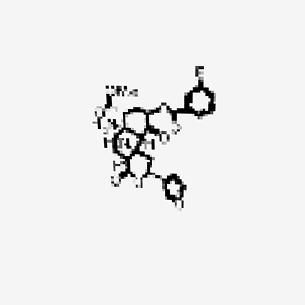 COC(=O)[C@@H]1CC(OC(=O)c2cccc(F)c2)C(=O)[C@H]2[C@@]1(N)CC[C@H]1C(=O)O[C@H](c3ccoc3)C[C@]21N